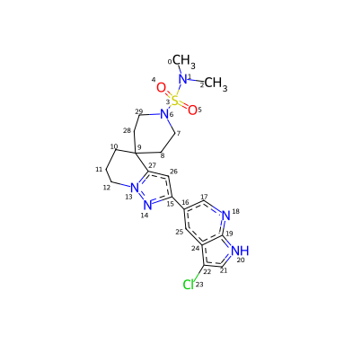 CN(C)S(=O)(=O)N1CCC2(CCCn3nc(-c4cnc5[nH]cc(Cl)c5c4)cc32)CC1